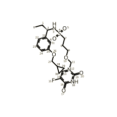 CC[C@@H](NS(=O)(=O)CCCOCn1cc(F)c(=O)[nH]c1=O)c1cccc(OCC2CC2)c1